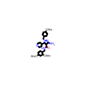 COc1ccc(Cn2nc(N)c(C(=O)NCc3ccc(OC)cc3OC)c2-c2ccncc2)cc1